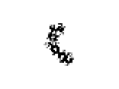 O=C(c1ccc(-c2cnc3cccnc3c2)cc1)N1CCN(C(=O)C2CCO2)CC1